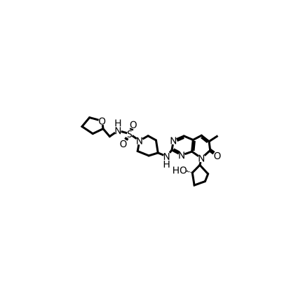 Cc1cc2cnc(NC3CCN(S(=O)(=O)NCC4CCCO4)CC3)nc2n(C2CCC[C@@H]2O)c1=O